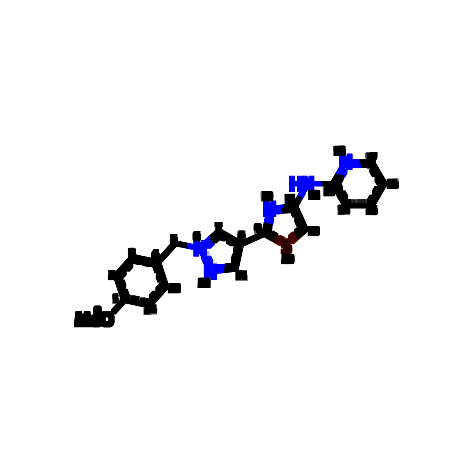 COc1ccc(Cn2cc(-c3nc(Nc4ccccn4)cs3)cn2)cc1